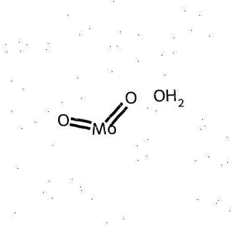 O.[O]=[Mo]=[O]